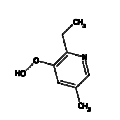 CCc1ncc(C)cc1OO